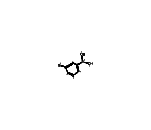 OB(O)c1cncc(Br)c1